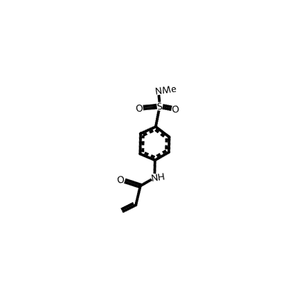 C=CC(=O)Nc1ccc(S(=O)(=O)NC)cc1